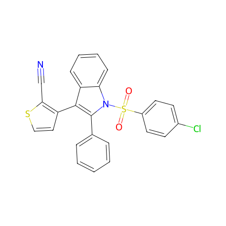 N#Cc1sccc1-c1c(-c2ccccc2)n(S(=O)(=O)c2ccc(Cl)cc2)c2ccccc12